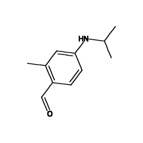 Cc1cc(NC(C)C)ccc1C=O